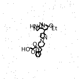 CCOc1cc(-c2ccc(N3CCC(Cc4ccccc4)(NC(=O)/C(O)=C/O)CC3)nc2)c2c3cn[nH]c3nn2c1